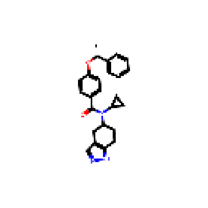 C[C@@H](Oc1ccc(C(=O)N(C2CC2)C2CCc3[nH]ncc3C2)cc1)c1ccccc1